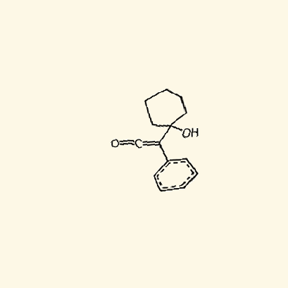 O=C=C(c1ccccc1)C1(O)CCCCC1